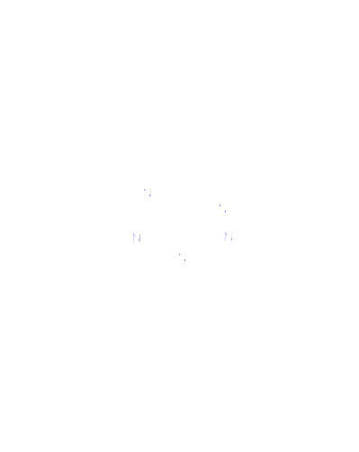 c1nncc2ncnc-2n1